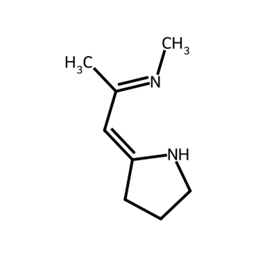 CN=C(C)C=C1CCCN1